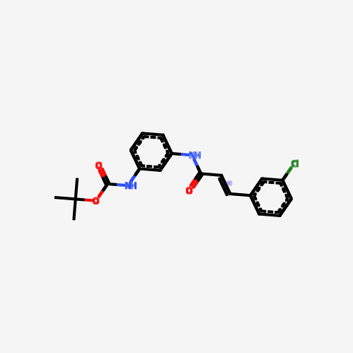 CC(C)(C)OC(=O)Nc1cccc(NC(=O)/C=C/c2cccc(Cl)c2)c1